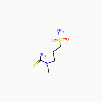 CN(CCCS(N)(=O)=O)C(N)=S